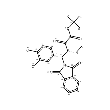 CC[C@@H](C(=N)C(=O)OC(C)(C)C)[C@@H](c1ccc(Cl)c(Cl)c1)N1C(=O)c2ccccc2C1=O